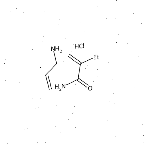 C=C(CC)C(N)=O.C=CCN.Cl